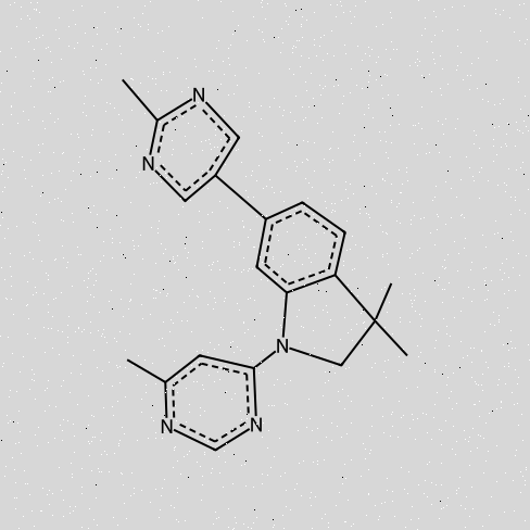 Cc1cc(N2CC(C)(C)c3ccc(-c4cnc(C)nc4)cc32)ncn1